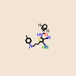 Cc1ccc(N(C)CCCc2sc(NC(=O)[C@@H]3C[C@H]4CC[C@H]3C4)c(C#N)c2C#N)cc1.Cl